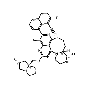 C#Cc1c(F)ccc2cccc(-c3nc4c5c(nc(OC[C@@]67CCCN6C[C@H](F)C7)nc5c3F)N3CCN[C@@H](CC)[C@H]3CCC4)c12